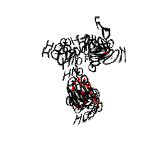 CCN(COCC(=O)[C@@]12O[C@H](c3cccc(F)c3)O[C@@H]1C[C@H]1[C@@H]3C[C@H](F)C4=CC(=O)C=C[C@]4(C)[C@@]3(F)[C@@H](O)C[C@@]12C)C(=O)OCc1ccc(O[C@@H]2O[C@H](C(=O)O)[C@@H](O)[C@H](O)[C@H]2O)c(NC(=O)CCNC(=O)CCc2ccc(N3C(=O)C=CC3=O)cc2C(=O)N(C)CC(=O)N(C)CC(=O)N(C)CC(=O)N(C)CC(=O)N(C)CC(=O)N(C)CC(=O)N(C)CC(=O)N(C)CC(=O)N(C)CC(=O)N(C)CC(=O)O)c1